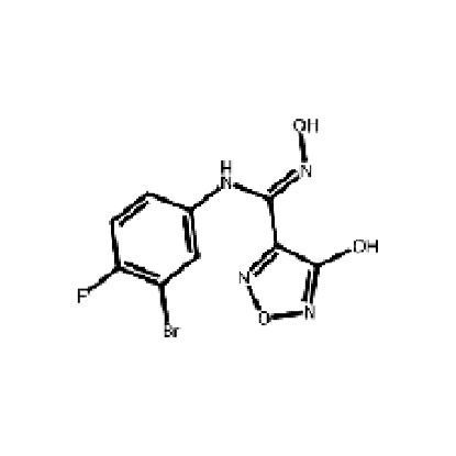 O/N=C(\Nc1ccc(F)c(Br)c1)c1nonc1O